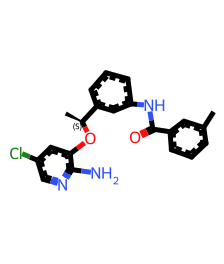 Cc1cccc(C(=O)Nc2cccc([C@H](C)Oc3cc(Cl)cnc3N)c2)c1